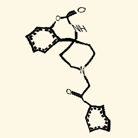 O=C1NC2(CCN(CC(=O)c3ccccc3)CC2)c2ccccc2O1